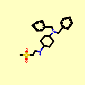 CS(=O)(=O)CCNC1CCC(N(Cc2ccccc2)Cc2ccccc2)CC1